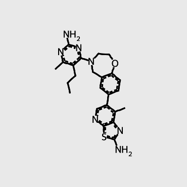 CCCc1c(C)nc(N)nc1N1CCOc2ccc(-c3cnc4sc(N)nc4c3C)cc2C1